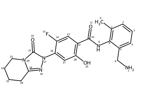 Cc1cccc(CN)c1NC(=O)c1cc(F)c(-n2nc3n(c2=O)CCCC3)cc1O